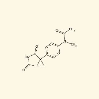 CC(=O)N(C)c1ccc(C23CC2C(=O)NC3=O)cc1